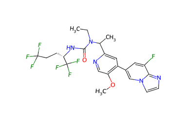 CCN(C(=O)N[C@@H](CCC(F)(F)F)C(F)(F)F)C(C)c1cc(-c2cc(F)c3nccn3c2)c(OC)cn1